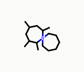 CC1CC(C)C(C)[N+]2(CCCCCC2)C(C)C1